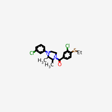 CCSc1ccc(C(=O)N2CCN(c3cccc(Cl)c3)[C@H](C)C2C)cc1Cl